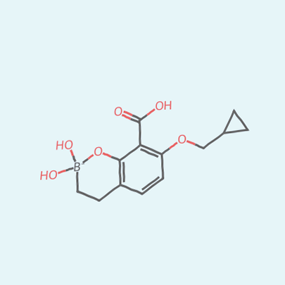 O=C(O)c1c(OCC2CC2)ccc2c1O[B-](O)(O)CC2